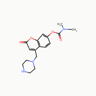 CN(C)C(=O)Oc1ccc2c(CN3CCNCC3)cc(=O)oc2c1